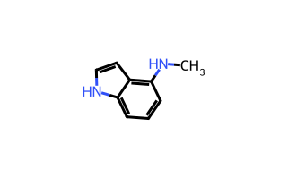 CNc1cccc2[nH]ccc12